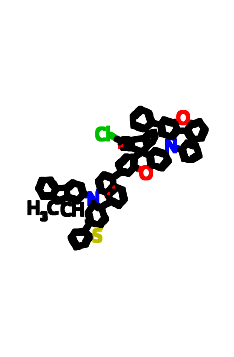 CC1(C)c2ccccc2-c2ccc(N(c3ccc(-c4ccc5c(c4)Oc4ccc(N(c6ccccc6)c6cc(-c7ccccc7)cc7oc8ccccc8c67)cc4C54c5ccccc5-c5cc(Cl)ccc54)cc3)c3cc4c(cc3-c3ccccc3)sc3ccccc34)cc21